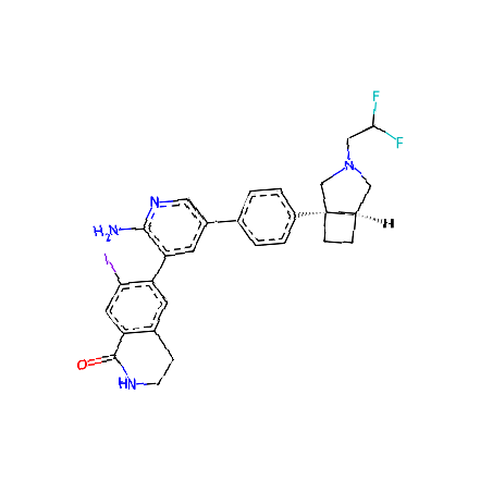 Nc1ncc(-c2ccc([C@@]34CC[C@@H]3CN(CC(F)F)C4)cc2)cc1-c1cc2c(cc1I)C(=O)NCC2